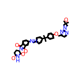 CC(C)(c1ccc(CNc2ccc3c(c2)C(=O)N(C2CCC(=O)NC2=O)C3=O)cc1)c1ccc(OCc2ccnc(N3CC4(COC4)C3)n2)cc1